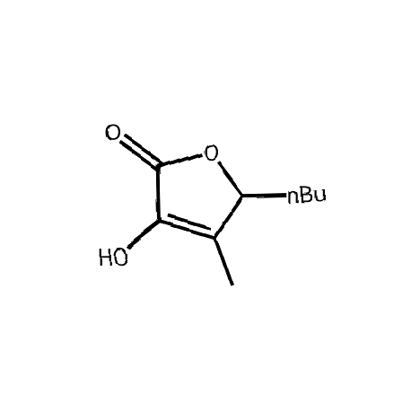 CCCCC1OC(=O)C(O)=C1C